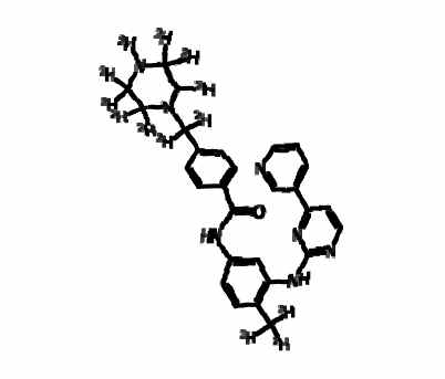 [2H]C1N(C([2H])([2H])c2ccc(C(=O)Nc3ccc(C([2H])([2H])[2H])c(Nc4nccc(-c5cccnc5)n4)c3)cc2)C([2H])([2H])C([2H])([2H])N([2H])C1([2H])[2H]